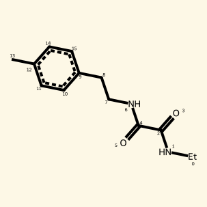 CCNC(=O)C(=O)NCCc1ccc(C)cc1